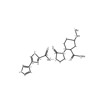 COC(=O)C1CC(NC(C)(C)C)CCC1N1CC[C@H](NC(=O)c2nc(-c3ccsc3)cs2)C1=O